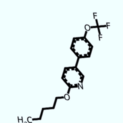 CCCCCOc1ccc(-c2ccc(OC(F)(F)F)cc2)cn1